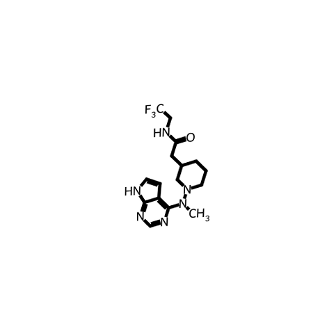 CN(c1ncnc2[nH]ccc12)N1CCCC(CC(=O)NCC(F)(F)F)C1